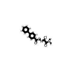 CN(C)C(=O)C(Cl)=NOC(=O)c1ccc(-c2ccccc2)cc1